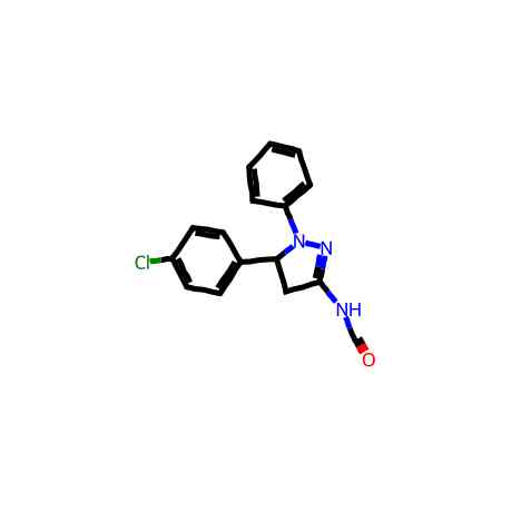 O=CNC1=NN(c2ccccc2)C(c2ccc(Cl)cc2)C1